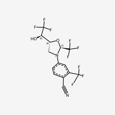 N#Cc1ccc(N2C[C@H]([C@@H](O)C(F)(F)F)O[C@H]2C(F)(F)F)cc1C(F)(F)F